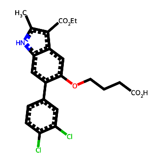 CCOC(=O)c1c(C)[nH]c2cc(-c3ccc(Cl)c(Cl)c3)c(OCCCC(=O)O)cc12